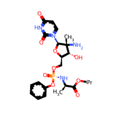 CC(C)OC(=O)[C@@H](C)N[P@](=O)(OC[C@H]1O[C@@H](n2ccc(=O)[nH]c2=O)[C@](C)(N)[C@@H]1O)Oc1ccccc1